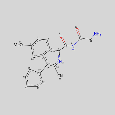 COc1ccc2c(C(=O)NC(=O)CN)nc(C#N)c(-c3ccccc3)c2c1